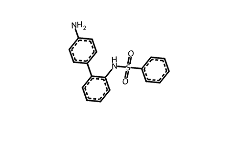 Nc1ccc(-c2ccccc2NS(=O)(=O)c2ccccc2)cc1